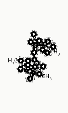 Cc1cccc(N(c2ccccc2)c2cc3c(c4ccccc24)-c2c(cc(N(c4ccccc4)c4cccc(C)c4)c4ccc5cc(-c6ccc7c8cccc9c8n(c7c6)-c6ccccc6[C@@]96c7cc(N(c8ccccc8)c8ccccc8C)ccc7-c7c6cc(N(c6ccccc6)c6ccccc6C)c6ccccc76)ccc5c24)C32c3ccccc3-n3c4ccccc4c4cccc2c43)c1